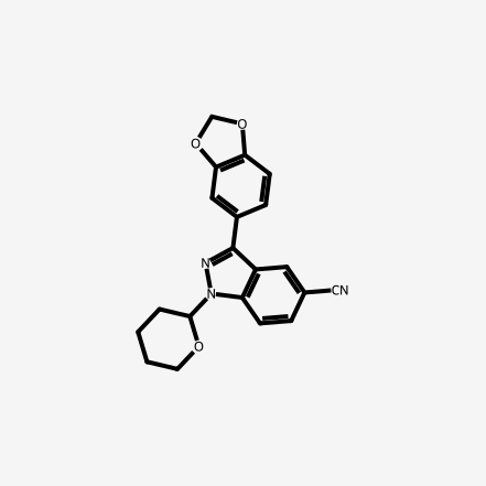 N#Cc1ccc2c(c1)c(-c1ccc3c(c1)OCO3)nn2C1CCCCO1